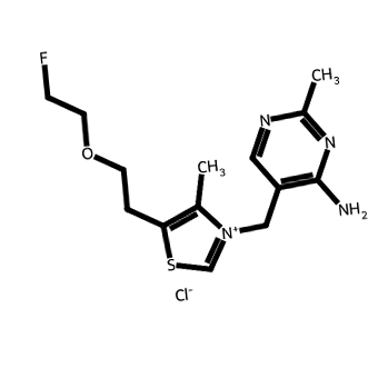 Cc1ncc(C[n+]2csc(CCOCCF)c2C)c(N)n1.[Cl-]